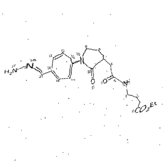 CCOC(=O)CCNC(=O)CC1CCN(c2ccc(C=NN)cc2)C1=O